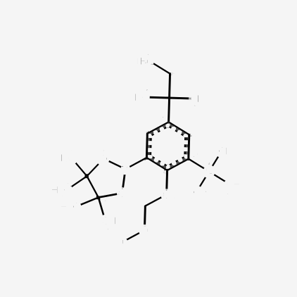 CCOCOc1c(B2OC(C)(C)C(C)(C)O2)cc(C(C)(C)CC(C)(C)C)cc1[Si](C)(C)C